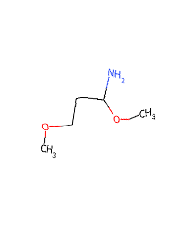 COCCC(N)OC